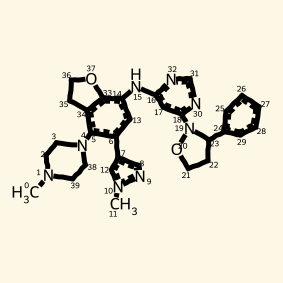 CN1CCN(c2c(-c3cnn(C)c3)cc(Nc3cc(N4OCCC4c4ccccc4)ncn3)c3c2CCO3)CC1